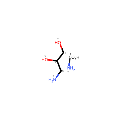 NC(=O)O.NCC(O)CO